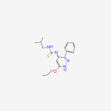 CCCOc1cc(=NC(=S)NCC(C)C)c(-c2ccccc2)n[nH]1